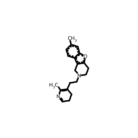 CC1=C(CCN2CCc3oc4cc(C)ccc4c3C2)CCC=N1